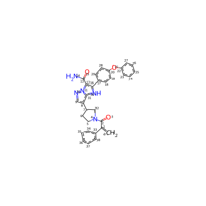 C=C(C(=O)N1CCC(c2cnn3c(C(N)=O)c(-c4ccc(Oc5ccccc5)cc4)[nH]c23)C1)c1ccccc1